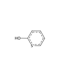 Oc1cccc[s+]1